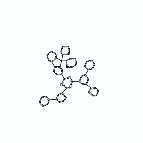 c1ccc(-c2cccc(-c3nc(-c4cc(-c5ccccc5)cc(-c5ccccc5)c4)nc(-c4ccc5c(c4)C(c4ccccc4)(c4ccccc4)c4ccccc4-5)n3)c2)cc1